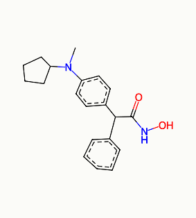 CN(c1ccc(C(C(=O)NO)c2ccccc2)cc1)C1CCCC1